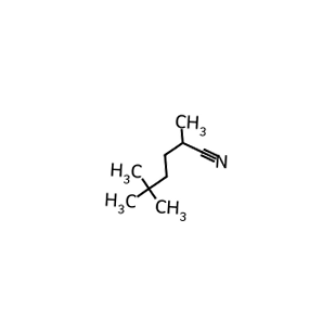 CC(C#N)CCC(C)(C)C